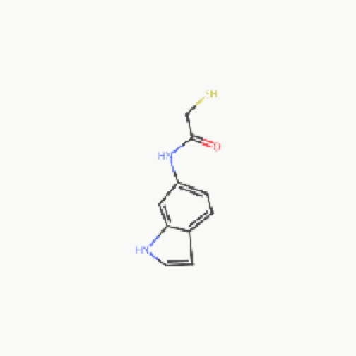 O=C(CS)Nc1ccc2cc[nH]c2c1